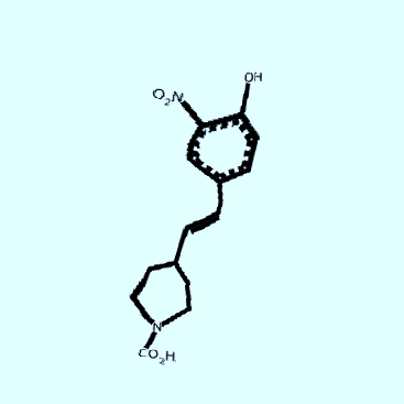 O=C(O)N1CCC(C=Cc2ccc(O)c([N+](=O)[O-])c2)CC1